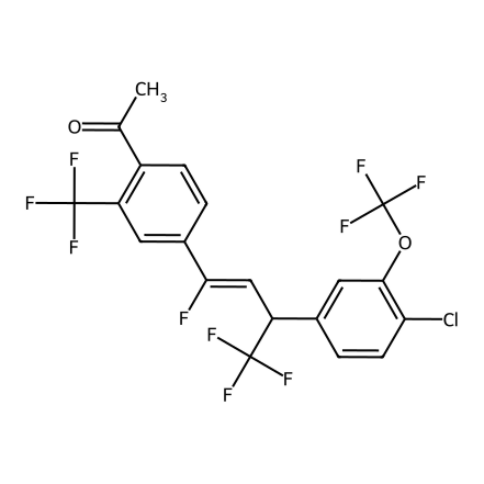 CC(=O)c1ccc(/C(F)=C/C(c2ccc(Cl)c(OC(F)(F)F)c2)C(F)(F)F)cc1C(F)(F)F